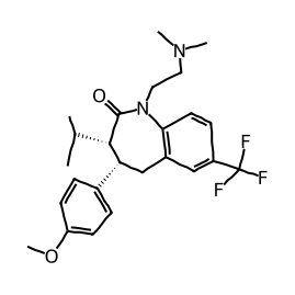 COc1ccc([C@H]2Cc3cc(C(F)(F)F)ccc3N(CCN(C)C)C(=O)[C@H]2C(C)C)cc1